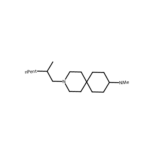 CCCCCC(C)CN1CCC2(CCC(NC)CC2)CC1